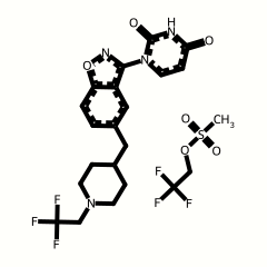 CS(=O)(=O)OCC(F)(F)F.O=c1ccn(-c2noc3ccc(CC4CCN(CC(F)(F)F)CC4)cc23)c(=O)[nH]1